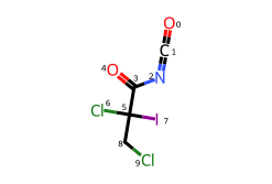 O=C=NC(=O)C(Cl)(I)CCl